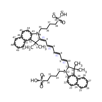 CC1(C)\C(=C/C=C/C=C/C=C/C2N(CCCCS(=O)(=O)O)c3ccc4ccccc4c3C2(C)C)N(CCCCS(=O)(=O)O)c2ccc3ccccc3c21